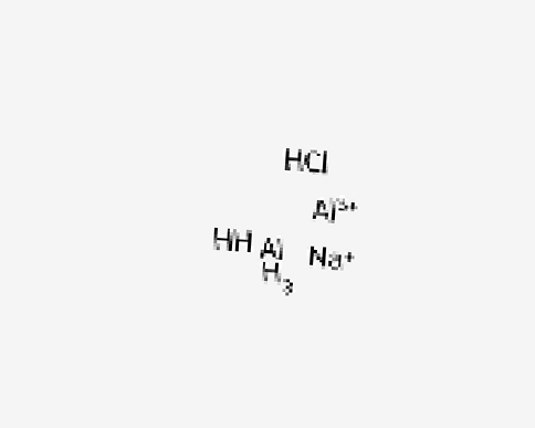 Cl.[Al+3].[AlH3].[HH].[Na+]